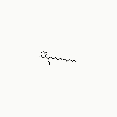 CCCCCCCCCCCCC(CCC)C1COCCO1